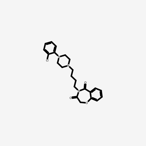 O=C1COc2ccccc2C(=O)N1CCCCN1CCN(c2ccccc2Cl)CC1